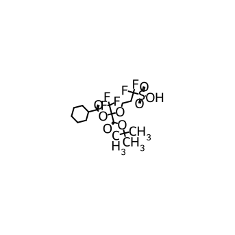 CC(C)(C)OC(=O)C(OCCC(F)(F)S(=O)(=O)O)(OC(=O)C1CCCCC1)C(F)(F)F